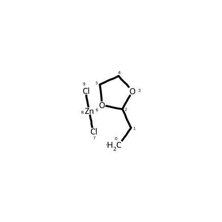 [CH2]CC1OCCO1.[Cl][Zn][Cl]